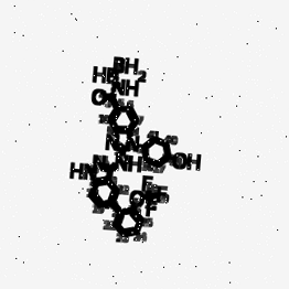 BBNC(=O)c1ccc2c(c1)nc(Nc1n[nH]c3ccc(-c4ccccc4OC(F)(F)F)cc13)n2[C@H]1CC[C@@H](O)CC1